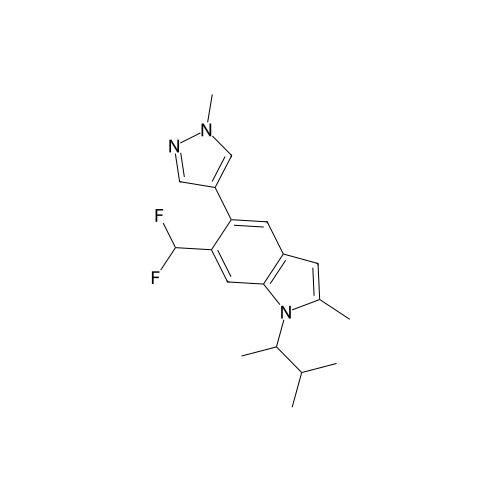 Cc1cc2cc(-c3cnn(C)c3)c(C(F)F)cc2n1C(C)C(C)C